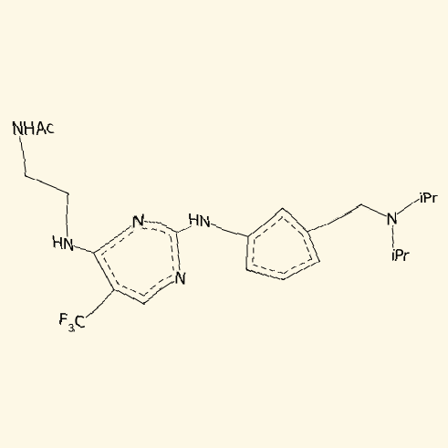 CC(=O)NCCNc1nc(Nc2cccc(CN(C(C)C)C(C)C)c2)ncc1C(F)(F)F